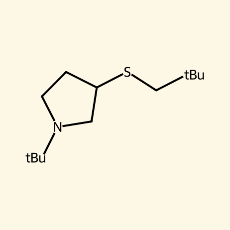 CC(C)(C)CSC1CCN(C(C)(C)C)C1